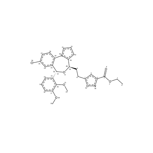 CCOC(=O)c1cc(CC[C@H]2O[C@H](c3cccc(OC)c3OC)c3cc(Cl)ccc3-n3cccc32)on1